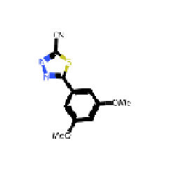 COc1cc(OC)cc(-c2nnc(C#N)s2)c1